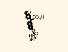 CC(C)CNC(=O)COc1ccc2ccc(C(CC(=O)O)c3ccc4c(c3)OCO4)cc2c1